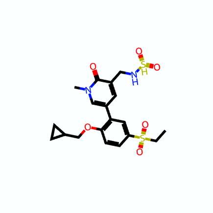 CCS(=O)(=O)c1ccc(OCC2CC2)c(-c2cc(CN[SH](=O)=O)c(=O)n(C)c2)c1